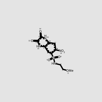 COCCNS(=O)(=O)c1cc2[nH]c(=O)c(=O)[nH]c2cc1[N+](=O)[O-]